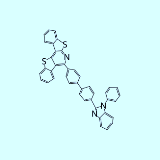 c1ccc(-n2c(-c3ccc(-c4ccc(-c5nc6sc7ccccc7c6c6sc7ccccc7c56)cc4)cc3)nc3ccccc32)cc1